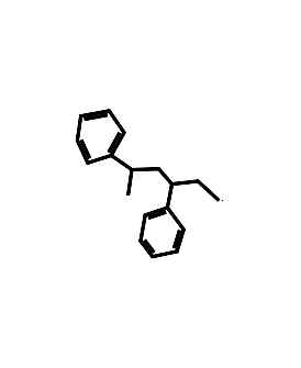 [CH2]CC(CC(C)c1ccccc1)c1ccccc1